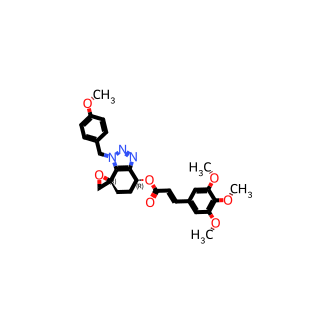 COc1ccc(Cn2nnc3c2[C@]2(CC[C@H]3OC(=O)C=Cc3cc(OC)c(OC)c(OC)c3)CO2)cc1